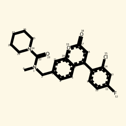 CN(Cc1ccc2c(-c3ccc(F)cc3Cl)cc(=O)oc2c1)C(=O)N1CCCCC1